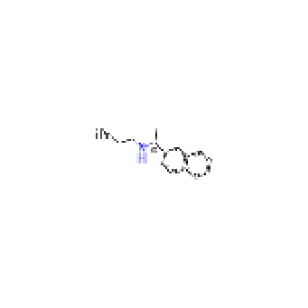 CC(C)CCN[C@@H](C)c1ccc2ccccc2c1